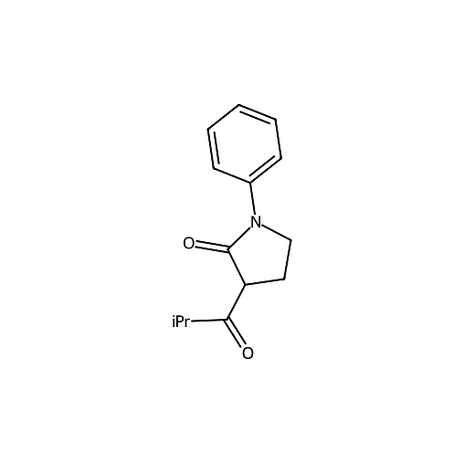 CC(C)C(=O)C1CCN(c2ccccc2)C1=O